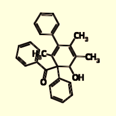 CC1=C(C)C(O)C(C(=O)c2ccccc2)(c2ccccc2)C(C)=C1c1ccccc1